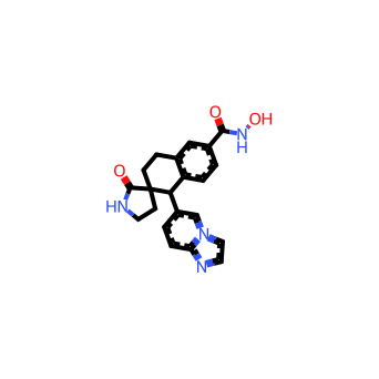 O=C(NO)c1ccc2c(c1)CCC1(CCNC1=O)C2c1ccc2nccn2c1